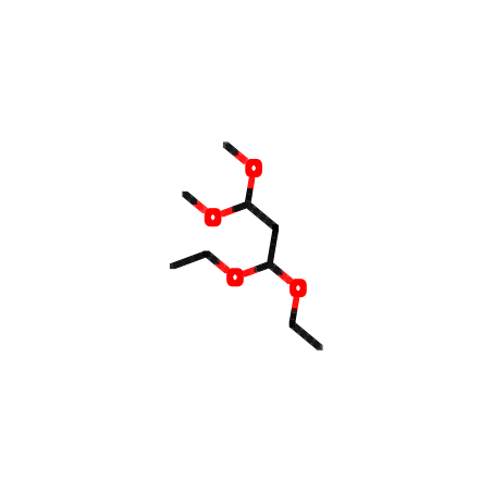 CCOC(CC(OC)OC)OCC